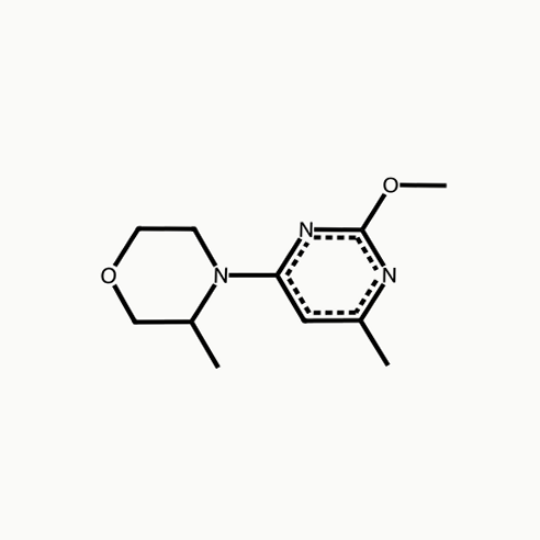 COc1nc(C)cc(N2CCOCC2C)n1